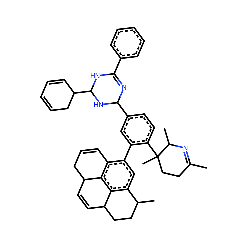 CC1=NC(C)C(C)(c2ccc(C3N=C(c4ccccc4)NC(C4C=CC=CC4)N3)cc2-c2cc3c4c5c2C=CCC5C=CC4CCC3C)CC1